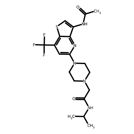 CC(=O)Nc1csc2c(C(F)(F)F)cc(N3CCN(CC(=O)NC(C)C)CC3)nc12